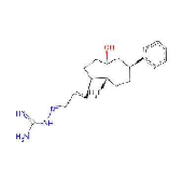 C[C@]12CC[C@H](c3ccccc3)C[C@@]1(O)CC[C@@H]2C=CC=NNC(=N)N